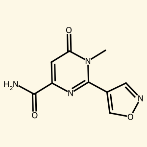 Cn1c(-c2cnoc2)nc(C(N)=O)cc1=O